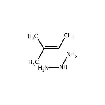 CC=C(C)C.NNN